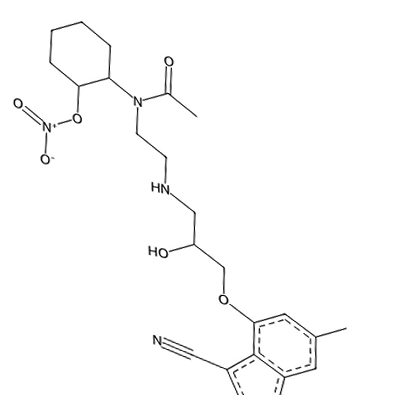 CC(=O)N(CCNCC(O)COc1cc(C)cc2[nH]cc(C#N)c12)C1CCCCC1O[N+](=O)[O-]